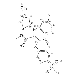 COC(=O)c1c(Cc2ccc(S(C)(=O)=O)cc2)c(=O)c2ccc(C)nc2n1[C@@H]1CC[C@H](O)C1